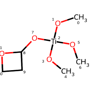 C[O][Ti]([O]C)([O]C)[O]C1CCO1